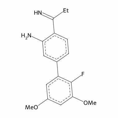 CCC(=N)c1ccc(-c2cc(OC)cc(OC)c2F)cc1N